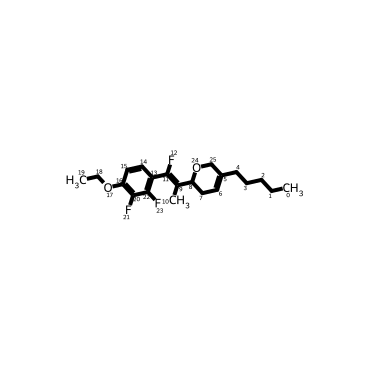 CCCCCC1=CCC(/C(C)=C(\F)c2ccc(OCC)c(F)c2F)OC1